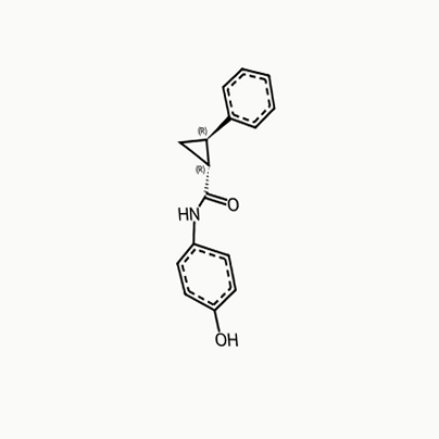 O=C(Nc1ccc(O)cc1)[C@@H]1C[C@H]1c1ccccc1